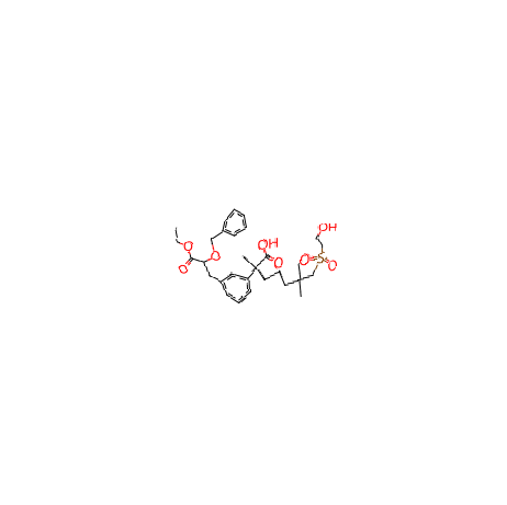 CCOC(=O)C(Cc1cccc(C(C)(CCCC(C)(C)CS(=O)(=O)CCO)C(=O)O)c1)OCc1ccccc1